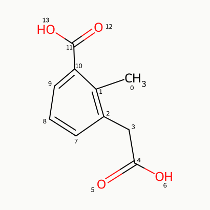 Cc1c(CC(=O)O)cccc1C(=O)O